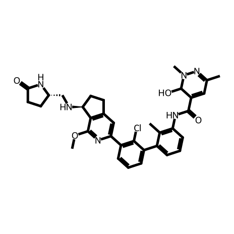 COc1nc(-c2cccc(-c3cccc(NC(=O)C4=CC(C)=NN(C)C4O)c3C)c2Cl)cc2c1[C@@H](NC[C@@H]1CCC(=O)N1)CC2